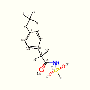 CC(C)(C)Cc1ccc(C(C)(C)C(=O)NS(C)(=O)=O)cc1